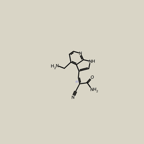 N#C/C(=C/c1c[nH]c2nccc(CN)c12)C(N)=O